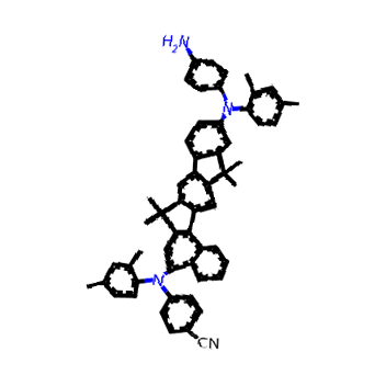 Cc1ccc(N(c2ccc(N)cc2)c2ccc3c(c2)C(C)(C)c2cc4c(cc2-3)C(C)(C)c2cc(N(c3ccc(C#N)cc3)c3ccc(C)cc3C)c3ccccc3c2-4)c(C)c1